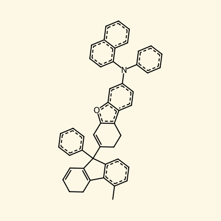 Cc1cccc2c1C1=C(C=CCC1)C2(C1=Cc2oc3cc(N(c4ccccc4)c4cccc5ccccc45)ccc3c2CC1)c1ccccc1